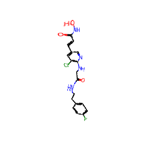 O=C(/C=C/c1cnc(NCC(=O)NCCc2ccc(F)cc2)c(Cl)c1)NO